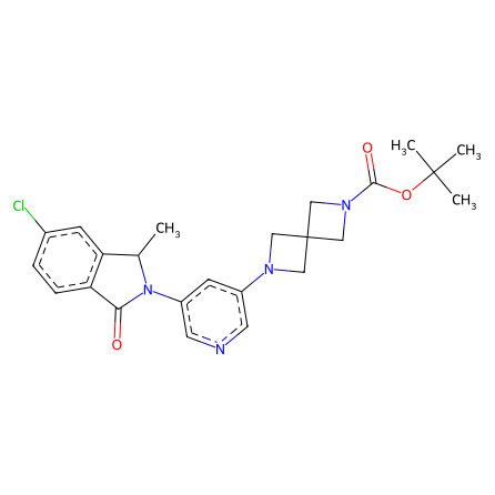 CC1c2cc(Cl)ccc2C(=O)N1c1cncc(N2CC3(CN(C(=O)OC(C)(C)C)C3)C2)c1